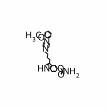 COc1ccccc1N1CCN(CCCCc2c[nH]c3ccc(OC(N)=O)cc23)CC1